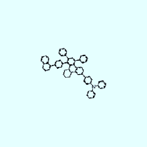 C1=Cc2c(c3cc(-c4ccc(N(c5ccccc5)c5ccccc5)cc4)ccc3c3c(-c4ccccc4)cc(-c4ccccc4)c(-c4ccc(-c5cccc6ccccc56)cc4)c23)CC1